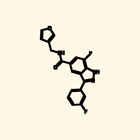 O=C(NCc1ccoc1)c1cc(F)c2[nH]nc(-c3cccc(F)c3)c2c1